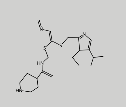 C=N/C=C(\SCNC(=C)C1CCNCC1)SCC1=NC=C(C(C)C)C1CC